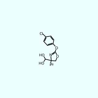 CC(C)C1(C(O)O)COC(Oc2ccc(Cl)cc2)=N1